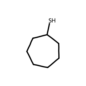 SC1CCCCCC1